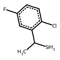 CC([SiH3])c1cc(F)ccc1Cl